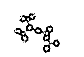 c1ccc(N(c2ccccc2)c2ccc3c(c2)c2ccccc2n3-c2ccc(-c3cc(-n4c5ccncc5c5cnccc54)cc(-n4c5ccncc5c5cnccc54)c3)cc2)cc1